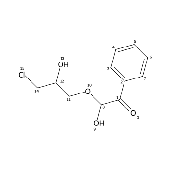 O=C(c1ccccc1)C(O)OCC(O)CCl